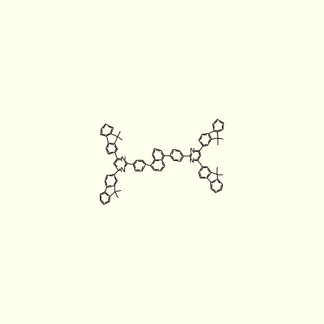 CC1(C)c2ccccc2-c2ccc(-c3cc(-c4ccc5c(c4)C(C)(C)c4ccccc4-5)nc(-c4ccc(-c5cccc6c(-c7ccc(-c8nc(-c9ccc%10c(c9)C(C)(C)c9ccccc9-%10)cc(-c9ccc%10c(c9)C(C)(C)c9ccccc9-%10)n8)cc7)cccc56)cc4)n3)cc21